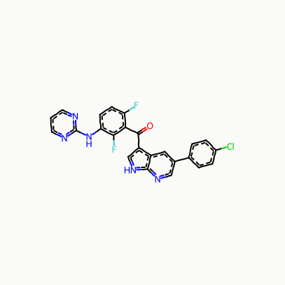 O=C(c1c(F)ccc(Nc2ncccn2)c1F)c1c[nH]c2ncc(-c3ccc(Cl)cc3)cc12